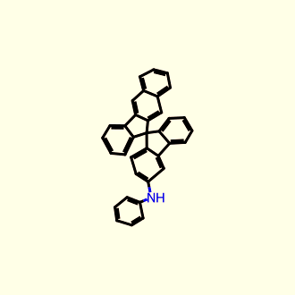 c1ccc(Nc2ccc3c(c2)-c2ccccc2C32c3ccccc3-c3cc4ccccc4cc32)cc1